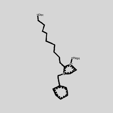 CCCCCCCCCCCCCCCCCCCc1n(Cc2ccccc2)cc[n+]1CCCCCCC